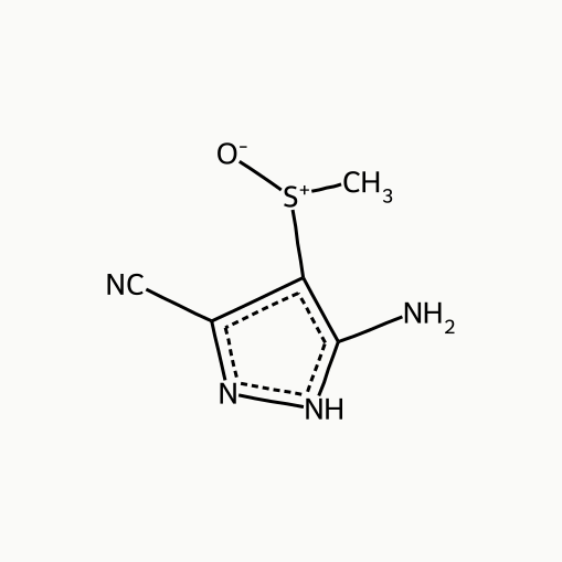 C[S+]([O-])c1c(C#N)n[nH]c1N